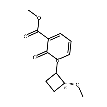 COC(=O)c1cccn(C2CC[C@H]2OC)c1=O